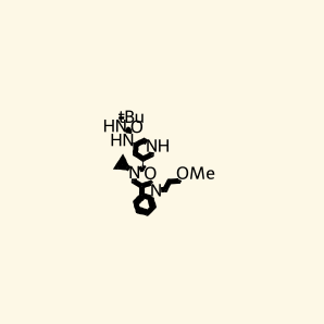 COCCCN1CC(CN(C(=O)[C@H]2CNC[C@@H](NC(=O)NC(C)(C)C)C2)C2CC2)c2ccccc21